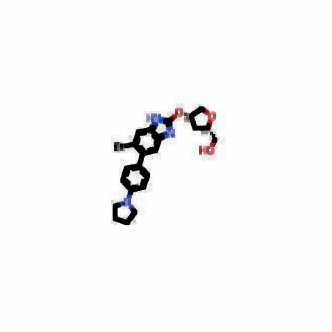 CCc1cc2[nH]c(O[C@@H]3CO[C@H](CO)C3)nc2cc1-c1ccc(N2CCCC2)cc1